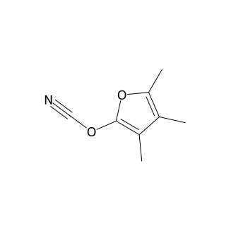 Cc1oc(OC#N)c(C)c1C